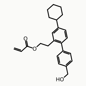 C=CC(=O)OCCc1cc(C2CCCCC2)ccc1-c1ccc(CO)cc1